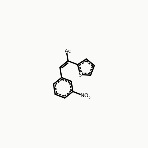 CC(=O)C(=Cc1cccc([N+](=O)[O-])c1)c1cccs1